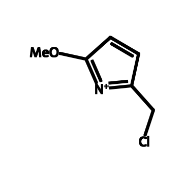 COC1=[N+]=C(CCl)C=C1